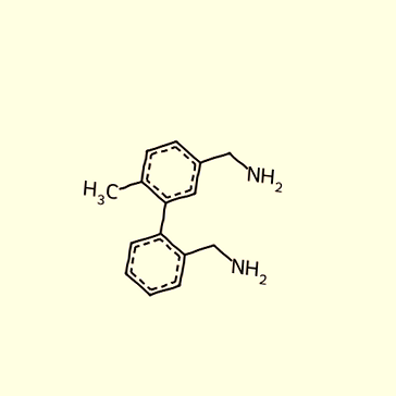 Cc1ccc(CN)cc1-c1ccccc1CN